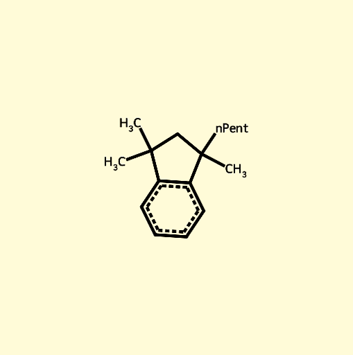 CCCCCC1(C)CC(C)(C)c2ccccc21